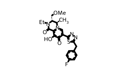 CCN1C(=O)c2c(O)c(=O)c(-c3nnc(Cc4ccc(F)cc4)s3)cn2[C@H](C)[C@H]1COC